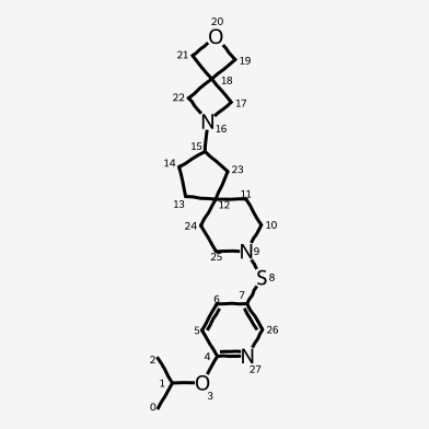 CC(C)Oc1ccc(SN2CCC3(CCC(N4CC5(COC5)C4)C3)CC2)cn1